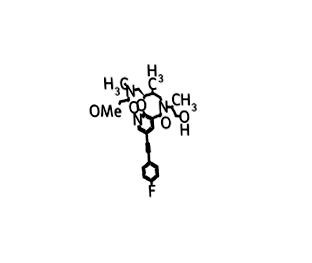 COCC(=O)N(C)C[C@@H]1Oc2ncc(C#Cc3ccc(F)cc3)cc2C(=O)N(C(C)CO)C[C@@H]1C